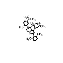 Cc1ccc(C(C)C)cc1N1CCc2nc(-c3c(C)cccc3C)nc(N3CC(C)NCC3C)c2C1